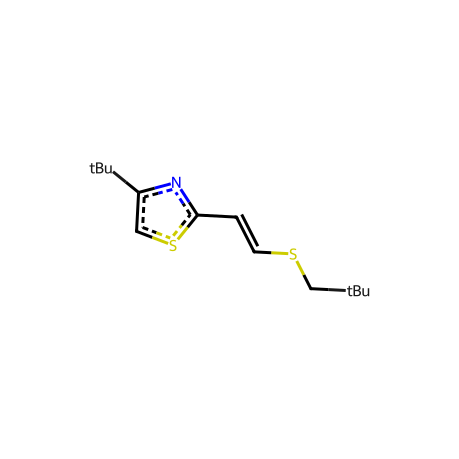 CC(C)(C)CS/C=C/c1nc(C(C)(C)C)cs1